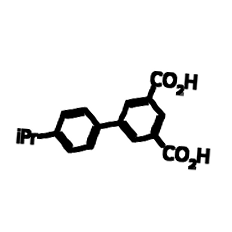 CC(C)c1ccc(-c2cc(C(=O)O)cc(C(=O)O)c2)cc1